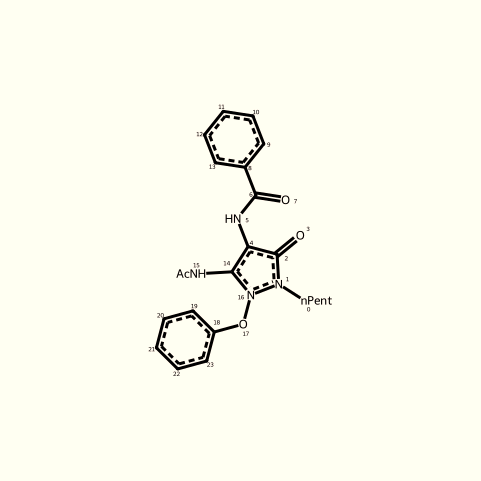 CCCCCn1c(=O)c(NC(=O)c2ccccc2)c(NC(C)=O)n1Oc1ccccc1